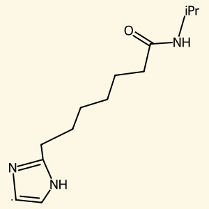 CC(C)NC(=O)CCCCCCc1n[c]c[nH]1